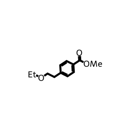 CCOCCc1ccc(C(=O)OC)cc1